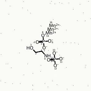 NCCO.O=P([O-])([O-])[O-].O=P([O-])([O-])[O-].[Mn+2].[Mn+2].[Mn+2]